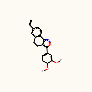 C=Cc1ccc2c(c1)CCc1c-2noc1C1=CCC(OCC)C(OCC)=C1